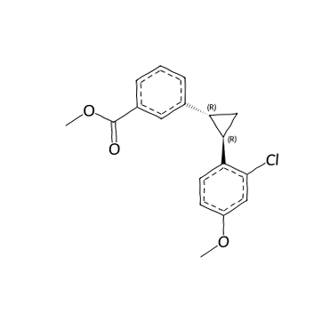 COC(=O)c1cccc([C@@H]2C[C@H]2c2ccc(OC)cc2Cl)c1